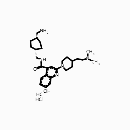 CN(C)CCC1CCN(c2cc(C(=O)NC[C@H]3CC[C@H](CN)CC3)c3ccccc3n2)CC1.Cl.Cl.Cl